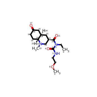 CCN(C(=O)NCCOC)C(=O)[C@@H]1C[C@@H]2CC(=O)CC[C@H]2N(C)C1